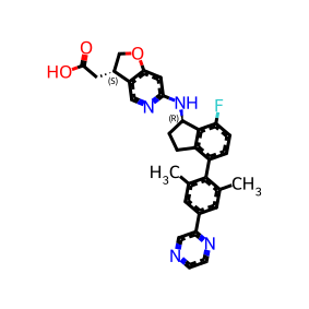 Cc1cc(-c2cnccn2)cc(C)c1-c1ccc(F)c2c1CC[C@H]2Nc1cc2c(cn1)[C@H](CC(=O)O)CO2